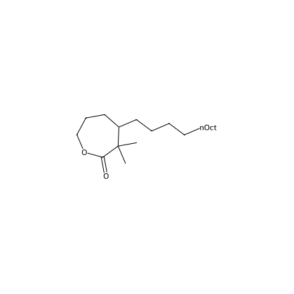 CCCCCCCCCCCCC1CCCOC(=O)C1(C)C